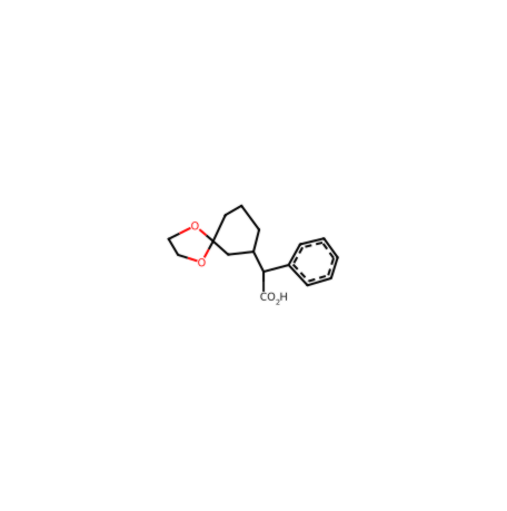 O=C(O)C(c1ccccc1)C1CCCC2(C1)OCCO2